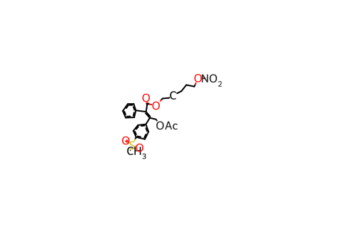 CC(=O)OC/C(=C(\C(=O)OCCCCCCO[N+](=O)[O-])c1ccccc1)c1ccc(S(C)(=O)=O)cc1